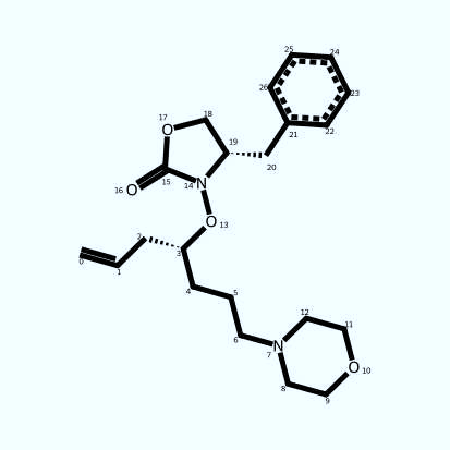 C=CC[C@@H](CCCN1CCOCC1)ON1C(=O)OC[C@@H]1Cc1ccccc1